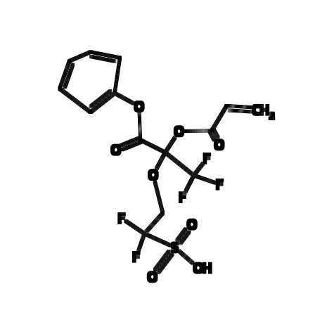 C=CC(=O)OC(OCC(F)(F)S(=O)(=O)O)(C(=O)Oc1ccccc1)C(F)(F)F